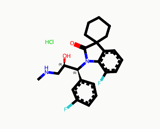 CNC[C@@H](O)[C@H](c1cccc(F)c1)N1C(=O)C2(CCCCC2)c2cccc(F)c21.Cl